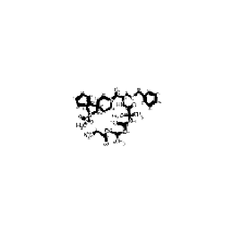 CC(OC(=O)CN)OC(=O)NC(C)(C)C(=O)N[C@H](COCc1ccccc1)C(=O)N1CCC2(CC1)CN(S(C)(=O)=O)c1ccccc12